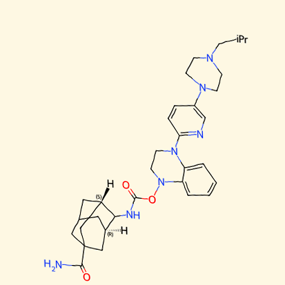 CC(C)CN1CCN(c2ccc(N3CCN(OC(=O)NC4[C@@H]5CC6C[C@H]4CC(C(N)=O)(C6)C5)c4ccccc43)nc2)CC1